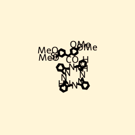 COc1ccc(C(C(=O)O)c2ccc(OC)c(OC)c2)cc1OC.[Si].c1ccc2c(c1)-c1nc-2nc2[nH]c(nc3nc(nc4[nH]c(n1)c1ccccc41)-c1ccccc1-3)c1ccccc21